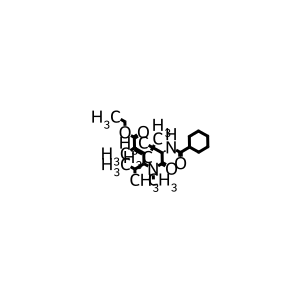 CCOC(=O)/C(C)=C/C(C(C)C)N(C)C(=O)[C@@H](NC(=O)C1CCCCC1)C(C)(C)C